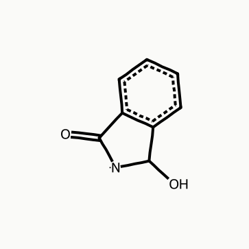 O=C1[N]C(O)c2ccccc21